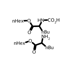 CCCCCCOC(=O)C(CCCC)NC(=O)O.CCCCCCOC(=O)C(N)CCCC